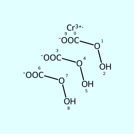 O=C([O-])OO.O=C([O-])OO.O=C([O-])OO.[Cr+3]